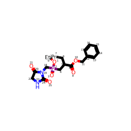 CCOP(=O)(CC(CC(C)C)C(=O)OCc1ccccc1)CN1C(=O)CNC1=O